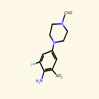 Nc1c(F)cc(N2CCN(C=O)CC2)cc1[N+](=O)[O-]